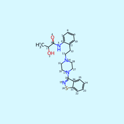 CC(O)C(=O)Nc1ccccc1CCN1CCN(c2nsc3ccccc23)CC1